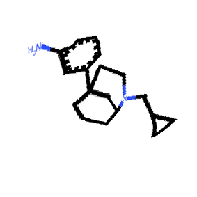 Nc1cccc(C23CCCC(C2)N(CC2CC2)CC3)c1